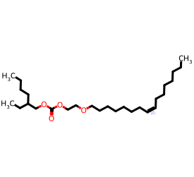 CCCCCCC/C=C\CCCCCCCOCCOC(=O)OCC(CC)CCCC